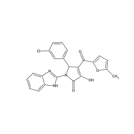 Cc1ccc(C(=O)C2=C(O)C(=O)N(c3nc4ccccc4[nH]3)C2c2cccc(Cl)c2)o1